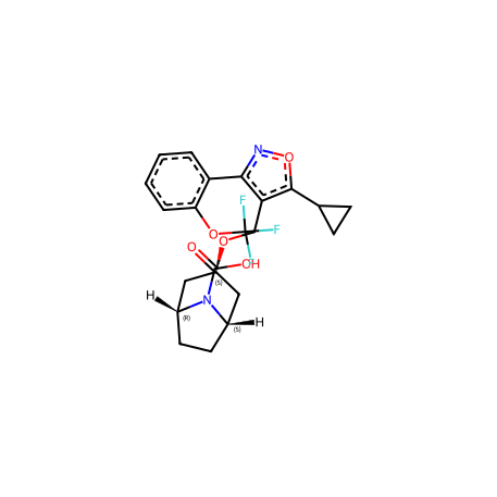 O=C(O)N1[C@@H]2CC[C@H]1C[C@H](OCc1c(-c3ccccc3OC(F)(F)F)noc1C1CC1)C2